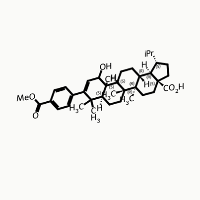 COC(=O)c1ccc(C2=CC(O)[C@]3(C)[C@H]4CC[C@@H]5[C@H]6[C@H](C(C)C)CC[C@]6(C(=O)O)CC[C@@]5(C)[C@]4(C)CC[C@H]3C2(C)C)cc1